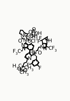 CC(C)(CCc1ccc(-c2ccc(Cl)c3c(N(C(=O)N4CCCC4COP(=O)(O)O)S(C)(=O)=O)nn(CC(F)(F)F)c23)c([C@H](Cc2cc(F)cc(F)c2)NC(=O)Cn2nc(C(F)(F)F)c3c2C(F)(F)C2C[C@H]32)n1)S(C)(=O)=O